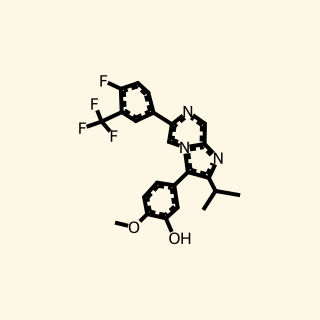 COc1ccc(-c2c(C(C)C)nc3cnc(-c4ccc(F)c(C(F)(F)F)c4)cn23)cc1O